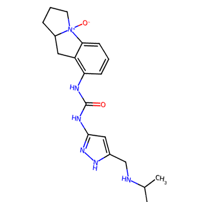 CCCCCCC(C)NCc1cc(NC(=O)Nc2cccc3c2CC2CCC[N+]32[O-])n[nH]1